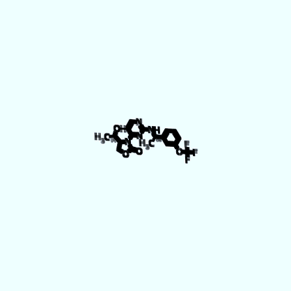 C[C@H](Nc1nccc(N2C(=O)OCC2[C@@H](C)O)n1)c1cccc(OC(F)(F)F)c1